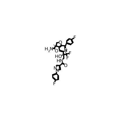 C[C@]1(C(N)=O)COc2c1cc([C@@](O)(CNC(=O)c1cnn(-c3ccc(F)cc3)c1)C(F)(F)F)nc2-c1ccc(F)cc1